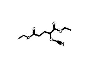 CCOC(=O)CCC(OC#N)C(=O)OCC